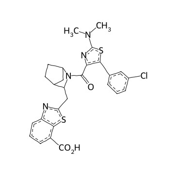 CN(C)c1nc(C(=O)N2C3CCC(C3)C2Cc2nc3cccc(C(=O)O)c3s2)c(-c2cccc(Cl)c2)s1